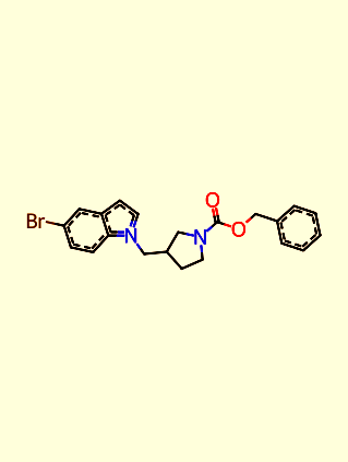 O=C(OCc1ccccc1)N1CCC(Cn2ccc3cc(Br)ccc32)C1